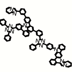 c1ccc(-c2nc(-c3ccc(-n4c5ccccc5c5ccc(-c6ccccc6-c6cn7ccccc7n6)cc54)cc3)nc(-c3cccc(-c4ccc5c(c4)c4ccc(-c6cccc(-c7cn8ccccc8n7)c6)cc4n5-c4ccc(-c5nc(-c6ccccc6)nc(-c6ccccc6)n5)cc4-c4ccccc4)c3)n2)cc1